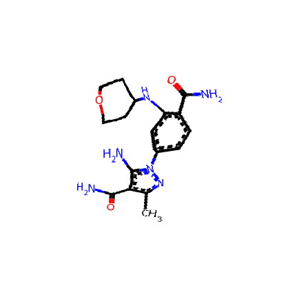 Cc1nn(-c2ccc(C(N)=O)c(NC3CCOCC3)c2)c(N)c1C(N)=O